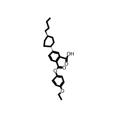 CCCC[C@H]1CC[C@H](c2ccc(C(=O)Oc3ccc(OCC)cc3)c(C(=O)O)c2)CC1